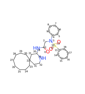 O=C(CN(c1ccccc1)S(=O)(=O)c1ccccc1)NC1CC2(CCCCCCCC2)CCN1